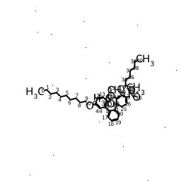 CCCCCCCCCCOc1cccc(-c2ccccc2[C@]2(OC)CC=C([N+](=O)[O-])C(OC(C)CCCCCC)=C2OC)c1